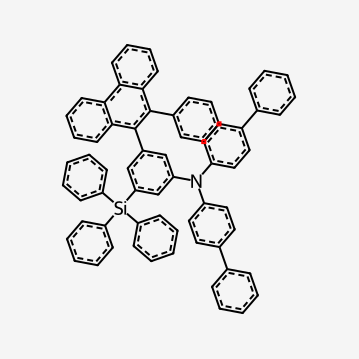 c1ccc(-c2ccc(N(c3ccc(-c4ccccc4)cc3)c3cc(-c4c(-c5ccccc5)c5ccccc5c5ccccc45)cc([Si](c4ccccc4)(c4ccccc4)c4ccccc4)c3)cc2)cc1